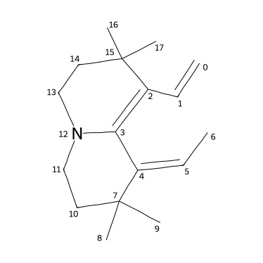 C=CC1=C2/C(=C\C)C(C)(C)CCN2CCC1(C)C